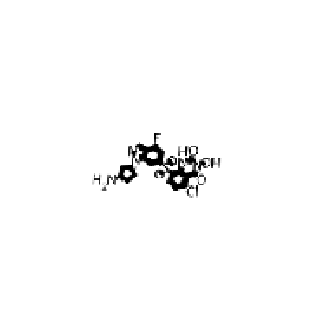 N[C@H]1CC[C@H](n2ncc3c(F)cc(S(=O)(=O)c4ccc(Cl)c5c(=O)n(O)c(=O)[nH]c45)cc32)C1